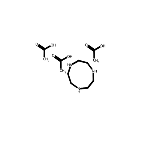 C1CNCCNCCN1.CC(=O)O.CC(=O)O.CC(=O)O